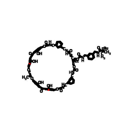 CCCCC(C)(C)C(=O)NCc1cccc(CNC(=O)OCC2(CC)COC(=O)NCc3cccc(c3)CNC(=O)Oc3ccc(c(O)c3)C(=O)c3ccc(cc3O)OCC(C)Oc3ccc(c(O)c3)C(=O)c3ccc(cc3O)OC(=O)NCc3cccc(c3)CNC(=O)OC2)c1